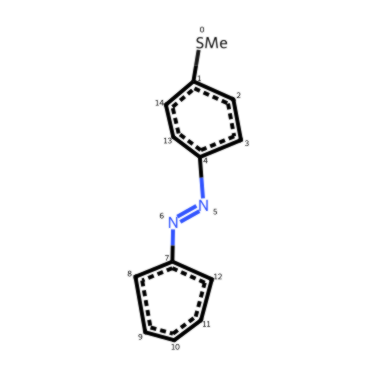 CSc1ccc(/N=N/c2ccccc2)cc1